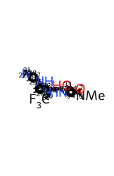 CNC(=O)c1ccc(NCC#Cc2cc3c(NC4CCC(N(C)C)CC4)cccc3n2CC(F)(F)F)c(O)c1